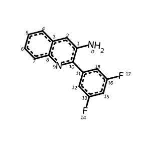 Nc1cc2ccccc2nc1-c1cc(F)cc(F)c1